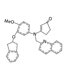 COc1ccc(N(Cc2ccc3ccccc3n2)C2=CC(=O)CC2)cc1OC1Cc2ccccc2C1